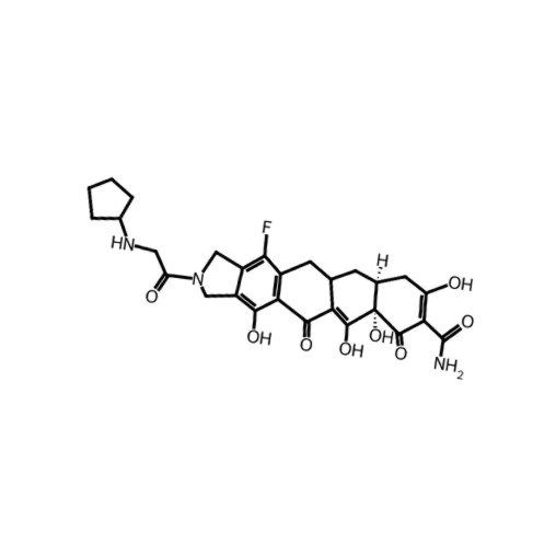 NC(=O)C1=C(O)C[C@@H]2CC3Cc4c(F)c5c(c(O)c4C(=O)C3=C(O)[C@]2(O)C1=O)CN(C(=O)CNC1CCCC1)C5